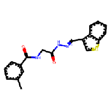 Cc1cccc(C(=O)NCC(=O)N/N=C/c2csc3ccccc23)c1